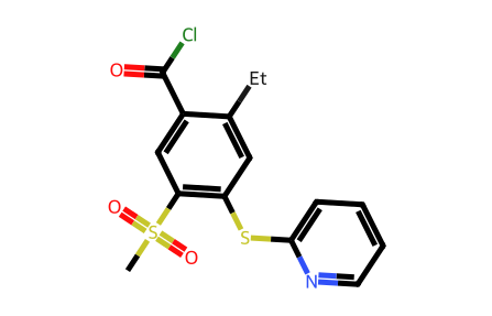 CCc1cc(Sc2ccccn2)c(S(C)(=O)=O)cc1C(=O)Cl